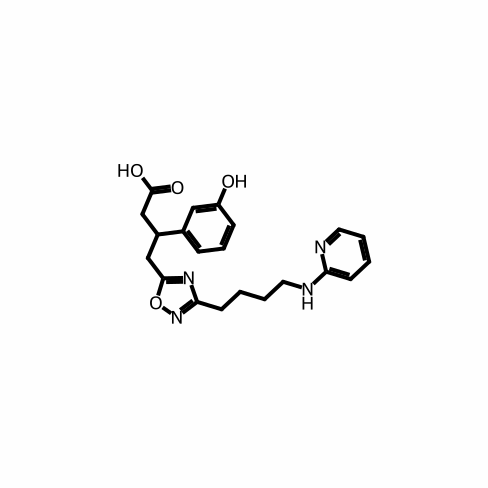 O=C(O)CC(Cc1nc(CCCCNc2ccccn2)no1)c1cccc(O)c1